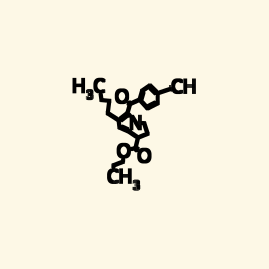 C#Cc1ccc(C(=O)c2c(CCCC)cc3n2CCC3C(=O)OCCC)cc1